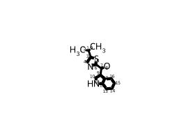 CC(C)c1cnc(C(=O)c2c[nH]c3ccccc23)s1